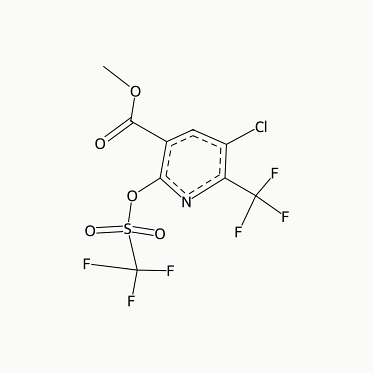 COC(=O)c1cc(Cl)c(C(F)(F)F)nc1OS(=O)(=O)C(F)(F)F